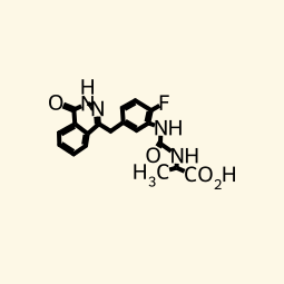 CC(NC(=O)Nc1cc(Cc2n[nH]c(=O)c3ccccc23)ccc1F)C(=O)O